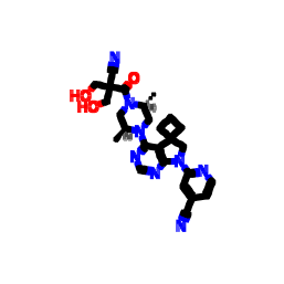 C[C@@H]1CN(c2ncnc3c2C2(CCC2)CN3c2cc(C#N)ccn2)[C@@H](C)CN1C(=O)C(C#N)(CO)CO